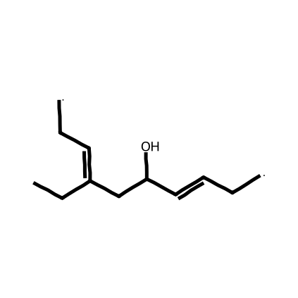 [CH2]CC=CC(O)CC(=CC[CH2])CC